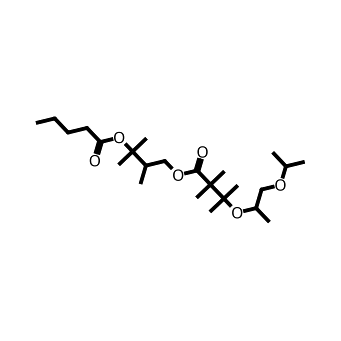 CCCCC(=O)OC(C)(C)C(C)COC(=O)C(C)(C)C(C)(C)OC(C)COC(C)C